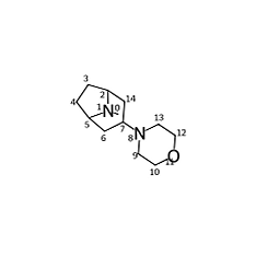 CN1C2CCC1CC(N1CCOCC1)C2